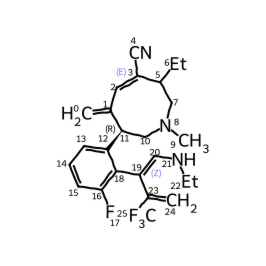 C=C1/C=C(/C#N)C(CC)CN(C)C[C@H]1c1cccc(F)c1/C(=C/NCC)C(=C)C(F)(F)F